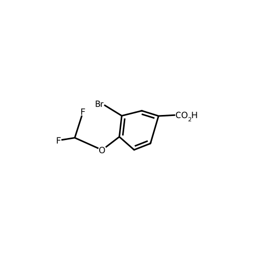 O=C(O)c1ccc(OC(F)F)c(Br)c1